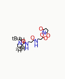 [2H]C(N1CCC([2H])([2H])C1([2H])C(=O)NCCC(=O)NCCC(=O)ON1C(=O)CCC1=O)C(C)(C)C